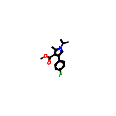 COC(=O)c1c(-c2ccc(F)cc2)cn(C(C)C)c1C